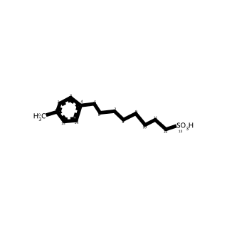 Cc1ccc(CCCCCCCCS(=O)(=O)O)cc1